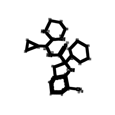 Cc1cccc2c1NC(C(=O)NC(C1CC1)C1NCCCN1)(C1CCCCC1)C2